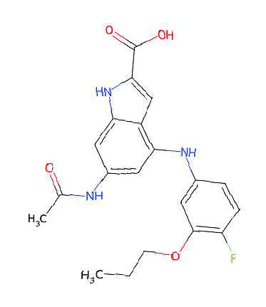 CCCOc1cc(Nc2cc(NC(C)=O)cc3[nH]c(C(=O)O)cc23)ccc1F